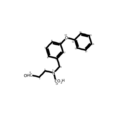 O=CCCN(Cc1cccc(Oc2ccccc2)c1)C(=O)O